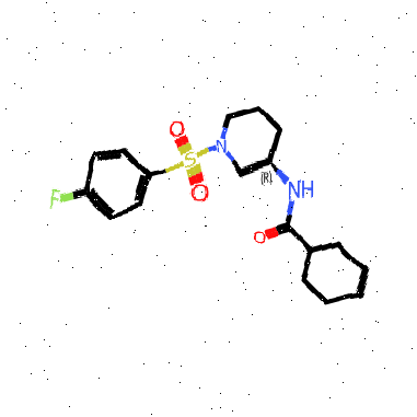 O=C(N[C@@H]1CCCN(S(=O)(=O)c2ccc(F)cc2)C1)C1CCCCC1